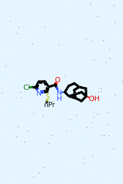 CCCSc1nc(Cl)ccc1C(=O)N[C@H]1CCC2CC3C[C@@](O)(C2)CC31